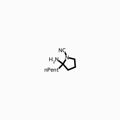 CCCCCC1(N)CCCN1C#N